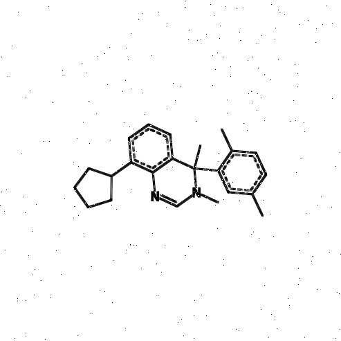 Cc1ccc(C)c(C2(C)c3cccc(C4CCCC4)c3N=CN2C)c1